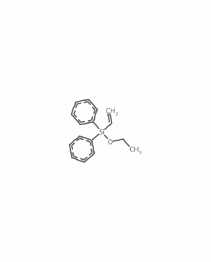 C=C[Si](OCC)(c1ccccc1)c1ccccc1